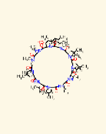 CCCC[C@@H](C)[C@@H](O)C1C(=O)N[C@@H](CC)C(=O)N(C)CC(=O)N(C)[C@@H](CC(C)C)C(=O)N[C@@H](C(C)C)C(=O)N(C)[C@@H](CC(C)C)C(=O)N[C@@H](C)C(=O)N[C@H](C)C(=O)N(C)[C@@H](CC(C)C)C(=O)N(C)[C@@H](CC(C)C)C(=O)N(C)[C@@H](C(C)C)C(=O)N1C